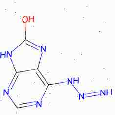 N=NNc1ncnc2[nH]c(O)nc12